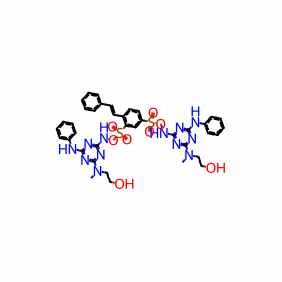 CN(CCO)c1nc(NOS(=O)(=O)c2ccc(C=Cc3ccccc3)c(S(=O)(=O)ONc3nc(Nc4ccccc4)nc(N(C)CCO)n3)c2)nc(Nc2ccccc2)n1